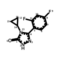 O=c1[nH]nc(-c2ccc(F)cc2F)n1C1CC1